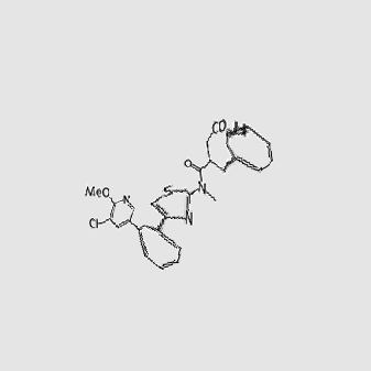 COc1ncc(-c2ccccc2-c2csc(N(C)C(=O)[C@@H](CC(=O)O)Cc3ccccc3)n2)cc1Cl